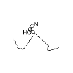 CCCCC/C=C\C/C=C\CCCCCCCCC1(CCCCCCCC/C=C\C/C=C\CCCCC)CCC(O)(OC2CCC(N(C)C)C2)C1